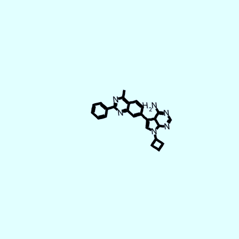 Cc1nc(-c2ccccc2)nc2cc(C3=CN(C4CCC4)C4N=CN=C(N)C34)ccc12